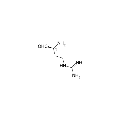 N=C(N)NCC[C@H](N)C=O